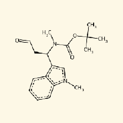 CN(C(=O)OC(C)(C)C)[C@H](CC=O)c1cn(C)c2ccccc12